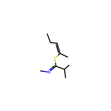 CC/C=C(/C)S/C(=N\C)C(C)C